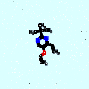 C=COc1cnc(C(C)(C)C)nc1C=C